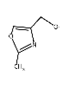 Cc1nc(C[O])co1